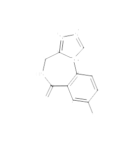 S=C1NCc2nncn2-c2ccc(Br)cc21